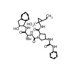 C=CC1CC1(NC(=O)C1CC(NC(=O)Nc2ccccc2)CN1C(=O)NC(C(=O)NC1c2ccccc2CC1O)C(C)(C)C)C(=O)O